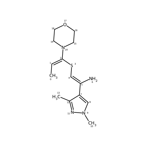 C/C=C(\S/C=C(\N)c1cn(C)nc1C)N1CCOCC1